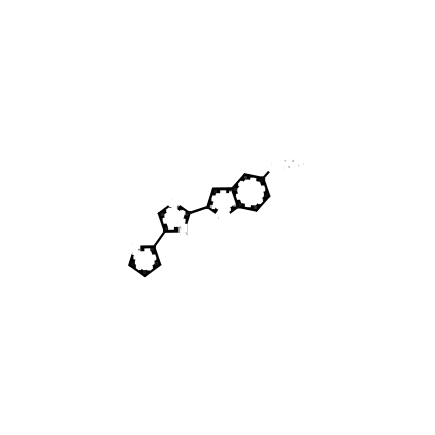 COc1ccc2oc(-c3nc(-c4cccs4)cs3)cc2c1